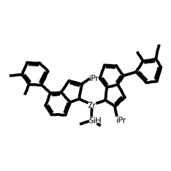 Cc1cccc(-c2cccc3c2C=C(C(C)C)[CH]3[Zr]([CH]2C(C(C)C)=Cc3c(-c4cccc(C)c4C)cccc32)[SiH](C)C)c1C